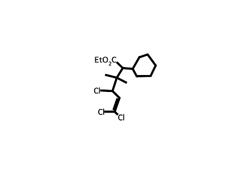 CCOC(=O)C(C1CCCCC1)C(C)(C)C(Cl)C=C(Cl)Cl